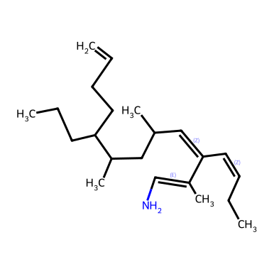 C=CCCC(CCC)C(C)CC(C)/C=C(/C=C\CC)C(\C)=C\N